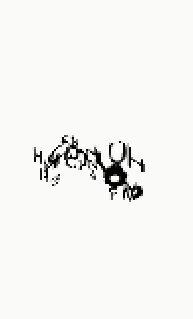 CC1(C)CC(=Cc2cnc(-c3cc(F)c(-n4cccn4)cc3O)cn2)CC(C)(C)N1